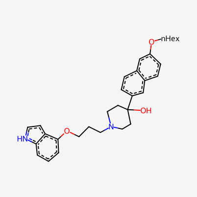 CCCCCCOc1ccc2cc(C3(O)CCN(CCCOc4cccc5[nH]ccc45)CC3)ccc2c1